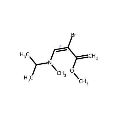 C=C(OC)/C(Br)=C\N(C)C(C)C